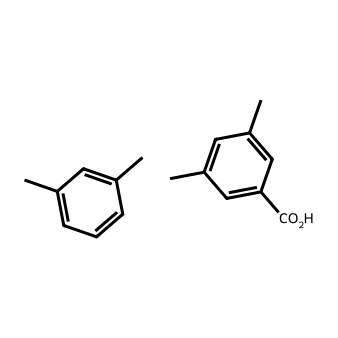 Cc1cc(C)cc(C(=O)O)c1.Cc1cccc(C)c1